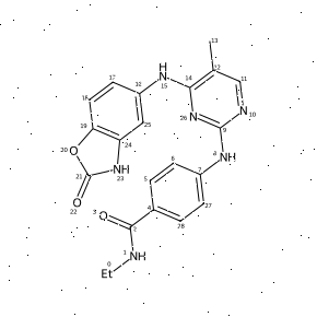 CCNC(=O)c1ccc(Nc2ncc(C)c(Nc3ccc4oc(=O)[nH]c4c3)n2)cc1